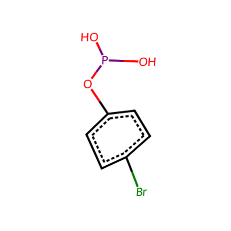 OP(O)Oc1ccc(Br)cc1